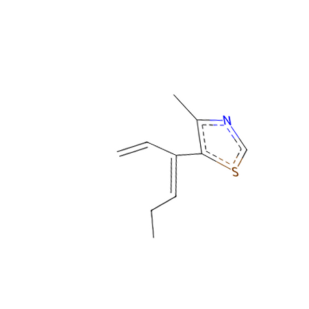 C=C/C(=C\CC)c1scnc1C